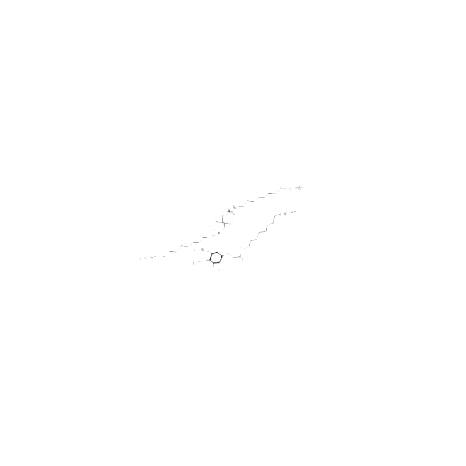 CCCCCCCCCCCCCCCCCCOC(=O)CCc1cc(C(C)(C)C)c(O)c(C(C)(C)C)c1.CCCCCCCCCCCCCCCCCCOP1OCC2(CO1)COP(OCCCCCCCCCCCCCCCCCC)OC2